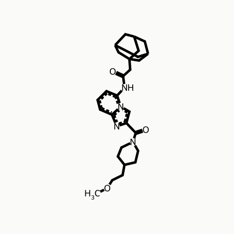 COCCC1CCN(C(=O)c2cn3c(NC(=O)CC45CC6CC(CC(C6)C4)C5)cccc3n2)CC1